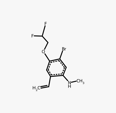 C=Cc1cc(OCC(F)F)c(Br)cc1NC